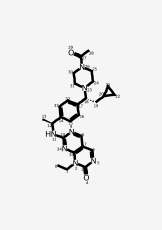 CCn1c(=O)ncc2cnc(N[C@@H](C)c3ccc([C@@H](CC4CC4)N4CCN(C(C)=O)CC4)cc3)nc21